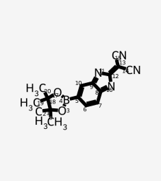 CC1(C)OB(c2ccc3c(c2)=NC(=C(C#N)C#N)N=3)OC1(C)C